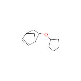 C1=CC2CC1CC2OC1CCCC1